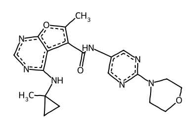 Cc1oc2ncnc(NC3(C)CC3)c2c1C(=O)Nc1cnc(N2CCOCC2)nc1